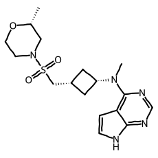 C[C@@H]1CN(S(=O)(=O)C[C@H]2C[C@@H](N(C)c3ncnc4[nH]ccc34)C2)CCO1